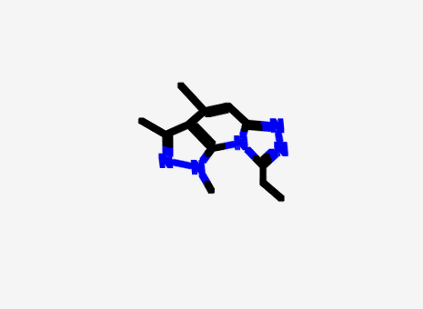 CCc1nnc2cc(C)c3c(C)nn(C)c3n12